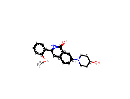 O=c1[nH]c(-c2ccccc2OC(F)(F)F)cc2ccc(N3CCC(O)CC3)cc12